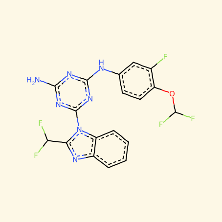 Nc1nc(Nc2ccc(OC(F)F)c(F)c2)nc(-n2c(C(F)F)nc3ccccc32)n1